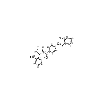 O=C(c1ccc(OCc2ccccc2F)cc1)N1CCC[C@@H]1c1ccccc1Cl